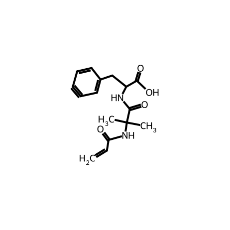 C=CC(=O)NC(C)(C)C(=O)NC(Cc1cc#ccc1)C(=O)O